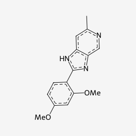 COc1ccc(-c2nc3cnc(C)cc3[nH]2)c(OC)c1